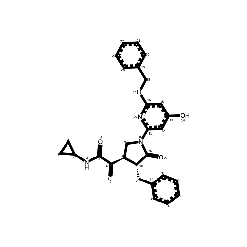 O=C(NC1CC1)C(=O)[C@H]1CN(c2cc(O)cc(OCc3ccccc3)n2)C(=O)[C@@H]1Cc1ccccc1